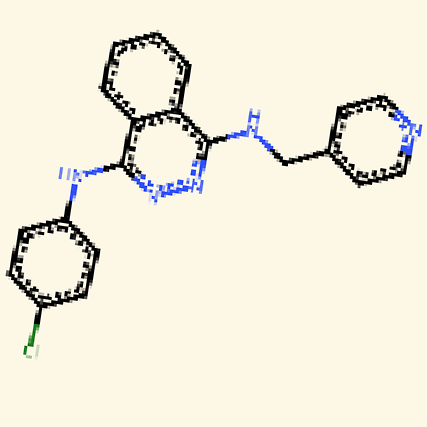 Clc1ccc(Nc2nnc(NCc3ccncc3)c3ccccc23)cc1